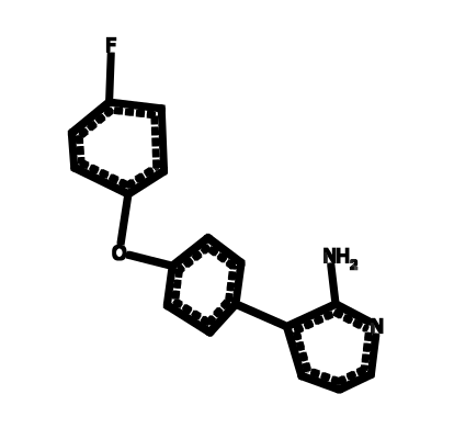 Nc1ncccc1-c1ccc(Oc2ccc(F)cc2)cc1